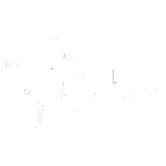 CCC(C#N)(C(=O)O)c1cc(C(=O)OC)ccc1[N+](=O)[O-]